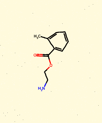 Cc1ccccc1C(=O)OCCN